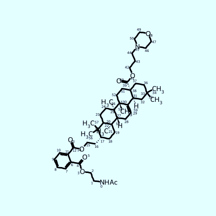 CC(=O)NCCOC(=O)c1ccccc1C(=O)OCC[C@H]1CC[C@@]2(C)C(CC[C@]3(C)[C@@H]2CC=C2[C@@H]4CC(C)(C)CC[C@]4(C(=O)OCCCN4CCOCC4)CC[C@]23C)C1(C)C